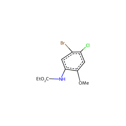 CCOC(=O)Nc1cc(Br)c(Cl)cc1OC